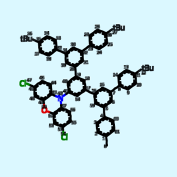 Cc1ccc(-c2cc(-c3ccc(C(C)(C)C)cc3)cc(-c3cc(-c4cc(-c5ccc(C(C)(C)C)cc5)cc(-c5ccc(C(C)(C)C)cc5)c4)cc(N4c5ccc(Cl)cc5Oc5cc(Cl)ccc54)c3)c2)cc1